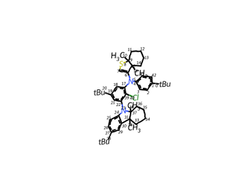 CC(C)(C)c1ccc(N(C2=CSC3(C)CCCCC23C)c2cc(C(C)(C)C)cc(N3c4ccc(C(C)(C)C)cc4C4(C)CCCCC34C)c2Cl)cc1